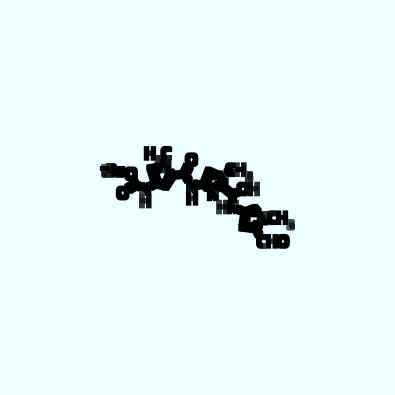 Cn1cc(NC(O)c2nc(NC(=O)c3cc(NC(=O)OC(C)(C)C)cn3C)cn2C)cc1C=O